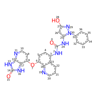 O=C(Nc1ccc(Oc2ccnc3[nH]c(=O)[nH]c23)c2ncccc12)Nc1cc(O)nn1-c1ccccc1